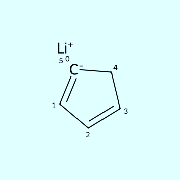 [C-]1=CC=CC1.[Li+]